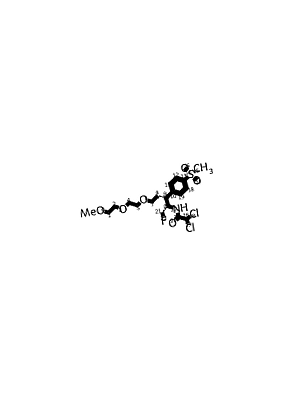 COCCOCCOC[CH][C@H](c1ccc(S(C)(=O)=O)cc1)[C@@H](CF)NC(=O)C(Cl)Cl